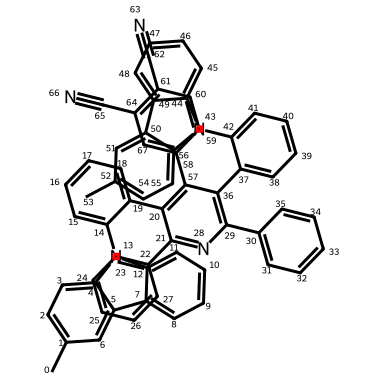 Cc1ccc2c(c1)c1ccccc1n2-c1ccccc1-c1c(-c2ccccc2)nc(-c2ccccc2)c(-c2ccccc2-n2c3ccccc3c3cc(C)ccc32)c1-c1ccc(C#N)c(C#N)c1